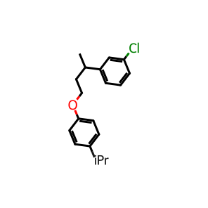 CC(C)c1ccc(OCCC(C)c2cccc(Cl)c2)cc1